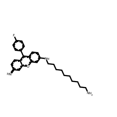 N=c1ccc2c(-c3ccc(F)cc3)c3ccc(NCCCCCCCCCCN)cc3oc-2c1